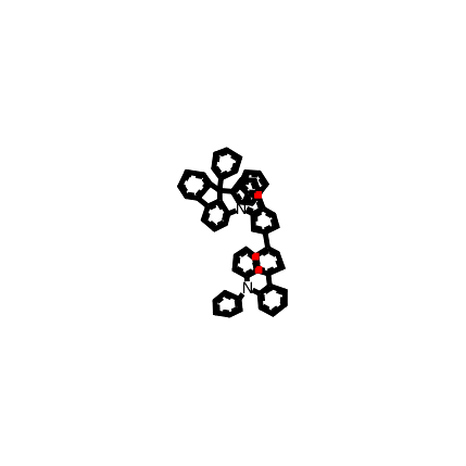 c1ccc(N(c2ccccc2)c2ccccc2-c2ccc(-c3ccc4c5ccccc5n(-c5cccc6c5C(c5ccccc5)(c5ccccc5)c5ccccc5-6)c4c3)cc2)cc1